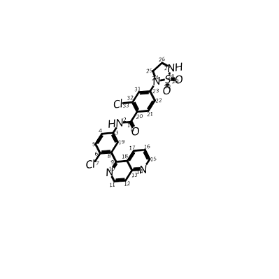 O=C(Nc1ccc(Cl)c(-c2nccc3ncccc23)c1)c1ccc(N2CCNS2(=O)=O)cc1Cl